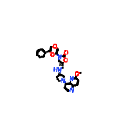 COc1ccc2nccc(N3CC[C@@H](NC[C@@H]4CN(C5=COC=C(C6=CC=CCC6)O5)C(=O)O4)C3)c2n1